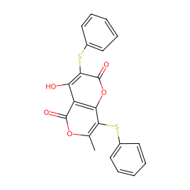 Cc1oc(=O)c2c(O)c(Sc3ccccc3)c(=O)oc2c1Sc1ccccc1